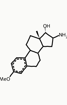 COc1ccc2c(c1)CCC1C2CC[C@@]2(C)C1CC(N)[C@H]2O